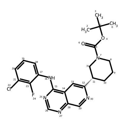 CC(C)(C)OC(=O)N1CCC[C@H](c2cc3c(Nc4cccc(Cl)c4F)ncnc3cn2)C1